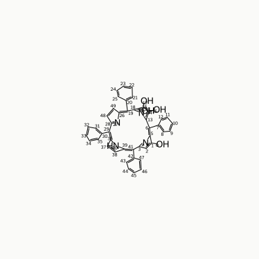 OC1=Cc2nc1c(-c1ccccc1)c1c(O)c(O)c(c(-c3ccccc3)c3nc(c(-c4ccccc4)c4ccc([nH]4)c2-c2ccccc2)C=C3)n1O